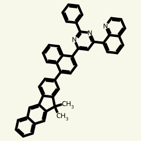 CC1(C)c2cc(-c3ccc(-c4cc(-c5cccc6cccnc56)nc(-c5ccccc5)n4)c4ccccc34)ccc2-c2cc3ccccc3cc21